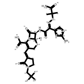 CC(C)(ON=C(C(=O)N[C@@H]1C(=O)N2C(C(=O)O)=C(C=C3CCN(CC(F)(F)F)C3=O)CS[C@H]12)c1csc(N)n1)C(N)=O